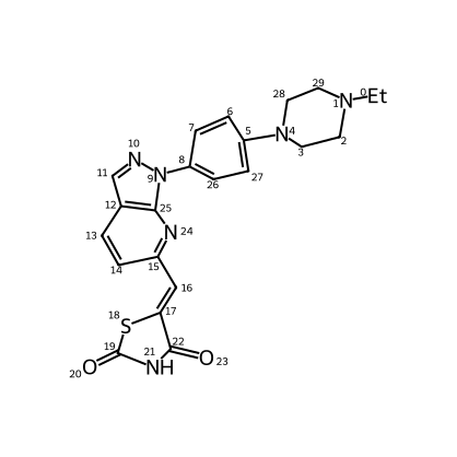 CCN1CCN(c2ccc(-n3ncc4ccc(/C=C5\SC(=O)NC5=O)nc43)cc2)CC1